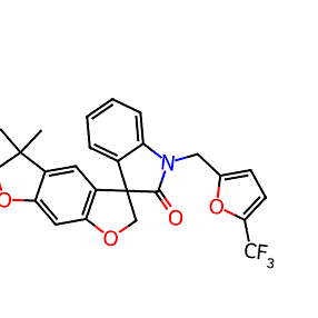 CC1(C)COc2cc3c(cc21)C1(CO3)C(=O)N(Cc2ccc(C(F)(F)F)o2)c2ccccc21